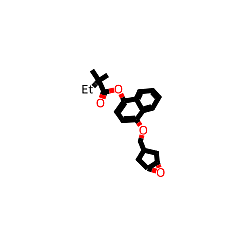 CCC(C)(C)C(=O)Oc1ccc(OCC2CC3OC3C2)c2ccccc12